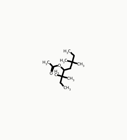 CCC(C)(C)CC(OC(C)=O)C(C)(C)CC